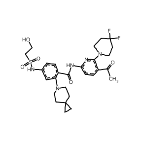 CC(=O)c1ccc(NC(=O)c2ccc(NS(=O)(=O)CCO)cc2N2CCC3(CC2)CC3)nc1N1CCC(F)(F)CC1